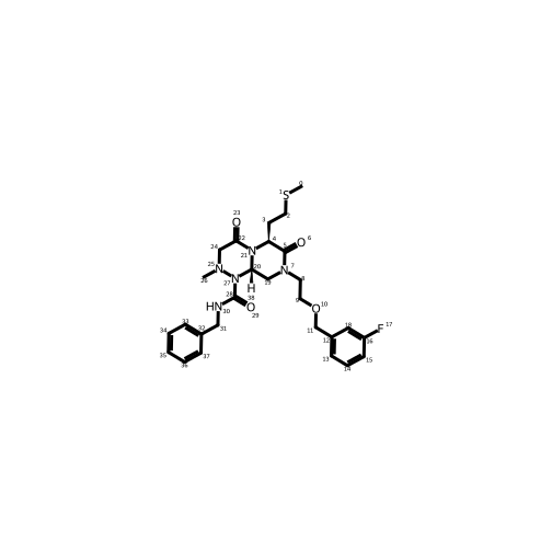 CSCC[C@H]1C(=O)N(CCOCc2cccc(F)c2)C[C@H]2N1C(=O)CN(C)N2C(=O)NCc1ccccc1